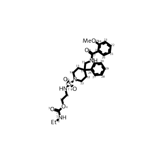 CCNC(=O)OCCNS(=O)(=O)N1CCC(CNC(=O)c2ccccc2OC)(c2ccccc2)CC1